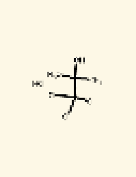 CC(C)(O)C(Cl)(Cl)Cl.Cl